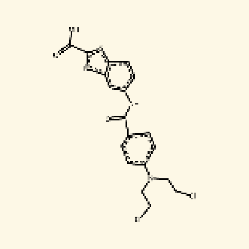 O=C(Nc1ccc2sc(C(=O)O)nc2c1)c1ccc(N(CCCl)CCCl)cc1